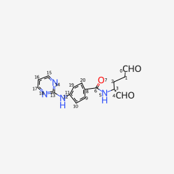 O=CCC[C@@H](C=O)NC(=O)c1ccc(Nc2ncccn2)cc1